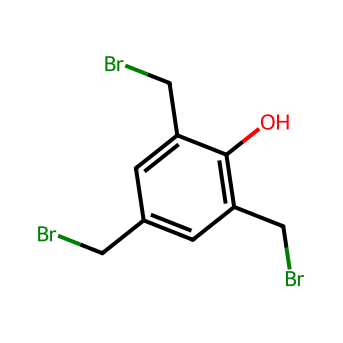 Oc1c(CBr)cc(CBr)cc1CBr